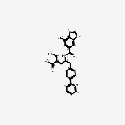 O=C(NC(Cc1ccc(-c2ccccc2)cc1)CC(CO)C(=O)O)c1cc(Cl)c2nc[nH]c2c1